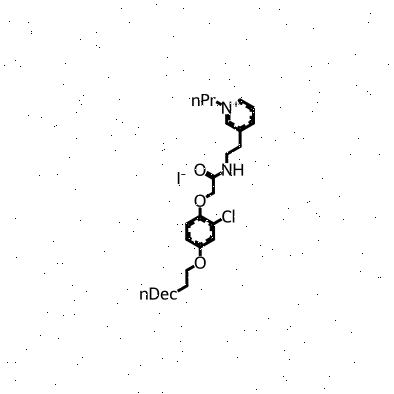 CCCCCCCCCCCCOc1ccc(OCC(=O)NCCc2ccc[n+](CCC)c2)c(Cl)c1.[I-]